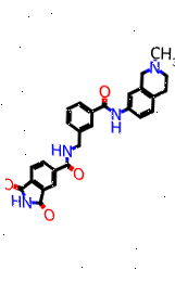 CN1CCc2ccc(NC(=O)c3cccc(CNC(=O)c4ccc5c(c4)C(=O)NC5=O)c3)cc2C1